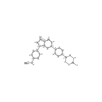 CN1CCN(c2ccc(-c3cnc4[nH]nc(-c5ccc(OC(C)(C)C)cc5)c4c3)cc2)CC1